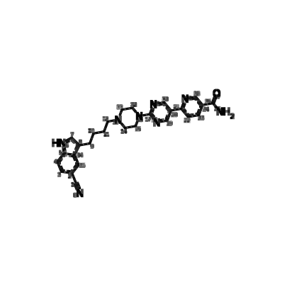 N#Cc1ccc2[nH]cc(CCCCN3CCN(c4ncc(-c5ccc(C(N)=O)cn5)cn4)CC3)c2c1